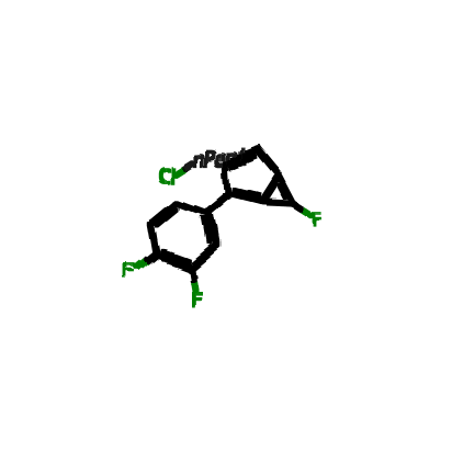 CCCCCCl.Fc1ccc(-c2ccc3c(F)c2-3)cc1F